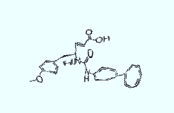 COc1ccc(C[C@@H](C=CC(=O)O)NC(=O)Nc2ccc(-c3ccccc3)cc2)cc1